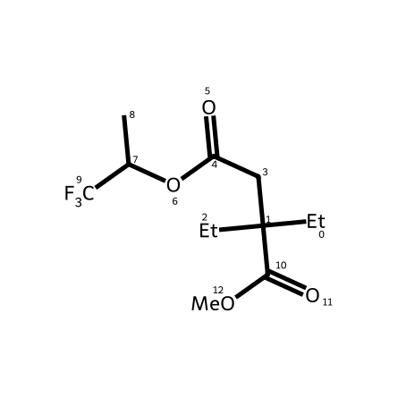 CCC(CC)(CC(=O)OC(C)C(F)(F)F)C(=O)OC